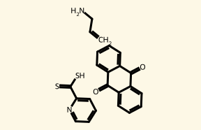 C=CCN.O=C1c2ccccc2C(=O)c2ccccc21.S=C(S)c1ccccn1